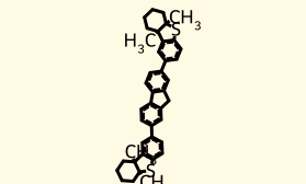 CC12CCCCC1(C)c1cc(-c3ccc4c(c3)Cc3cc(-c5ccc6c(c5)C5(C)CCCCC5(C)S6)ccc3-4)ccc1S2